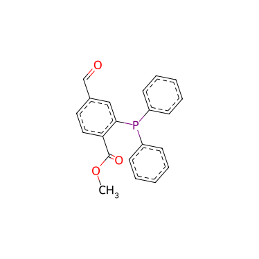 COC(=O)c1ccc(C=O)cc1P(c1ccccc1)c1ccccc1